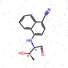 C[C@@H](O)[C@H](C=O)Nc1ccc(C#N)c2ccccc12